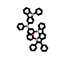 c1ccc(-c2c(-c3ccccc3)n(-c3ccccc3)c3c2ccc2c4ccccc4n(-c4cccc(N(c5ccccc5)c5ccc6c(c5)c5ccccc5n6-c5ccccc5)c4)c23)cc1